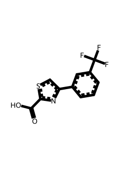 O=C(O)c1nc(-c2cccc(C(F)(F)F)c2)cs1